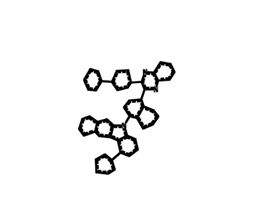 c1ccc(-c2ccc(-c3nc4ccccc4nc3-c3ccc(-n4c5cc6ccccc6cc5c5c(-c6ccccc6)cccc54)c4ccccc34)cc2)cc1